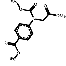 COC(=O)CN(C(=O)OC(C)(C)C)c1ccc(C(=O)OC(C)(C)C)cc1